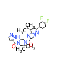 CC(C)c1cc(-c2ccc(F)c(F)c2)nn2cc(C(=O)N3CCN(C(=O)c4ccn[nH]4)CC3(C)C)nc12